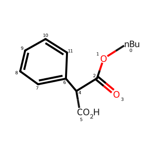 CCCCOC(=O)C(C(=O)O)c1ccccc1